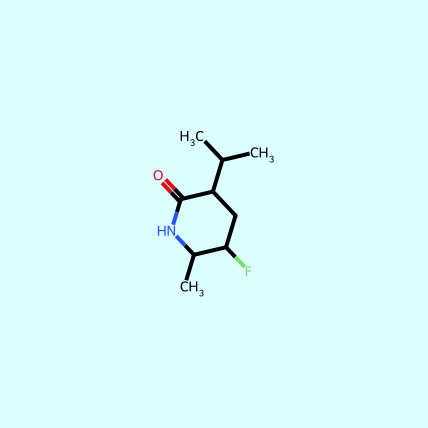 CC(C)C1CC(F)C(C)NC1=O